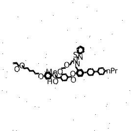 C=CC(=O)OCCCCCCOc1ccc(OC(O)C2CCC(C(=O)Oc3ccc(C4CCC(C5CCC(CCC)CC5)CC4)cc3/C=N/N(CCOCCOC)c3nc4ccccc4s3)CC2)cc1